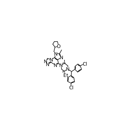 CC[C@@H]1CN(c2nc3nncn3c3c2nc(C)n3CC2CCCO2)[C@@H](C)CN1C(c1ccc(Cl)cc1)c1ccc(Cl)cc1